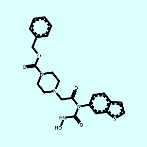 O=C(OCc1ccccc1)N1CCN(CC(=O)N(C(=O)NO)c2ccc3ccsc3c2)CC1